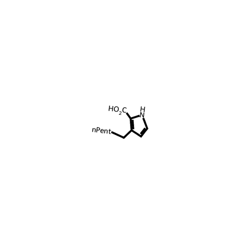 CCCCCCc1cc[nH]c1C(=O)O